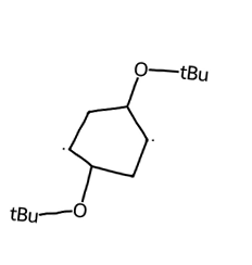 CC(C)(C)OC1[CH]CC(OC(C)(C)C)[CH]C1